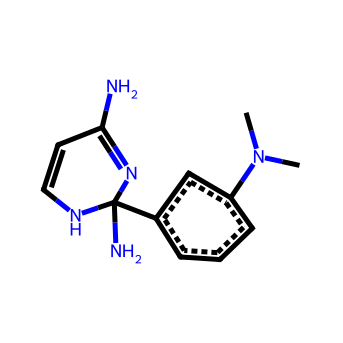 CN(C)c1cccc(C2(N)N=C(N)C=CN2)c1